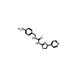 Nc1ccc(CNC(=O)NC2=NC(c3ccncc3)CS2)cc1